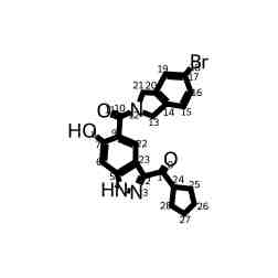 O=C(c1n[nH]c2cc(O)c(C(=O)N3Cc4ccc(Br)cc4C3)cc12)C1CCCC1